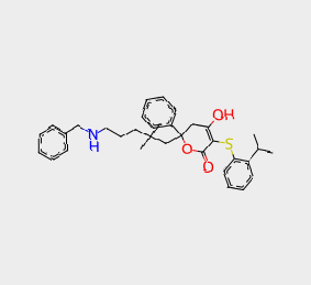 CC(C)c1ccccc1SC1=C(O)CC(CC(C)(C)CCCNCc2ccccc2)(c2ccccc2)OC1=O